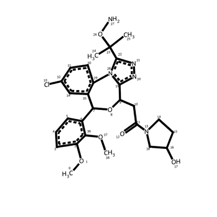 COc1cccc(C2OC(CC(=O)N3CCC(O)C3)c3nnc(C(C)(C)ON)n3-c3ccc(Cl)cc32)c1OC